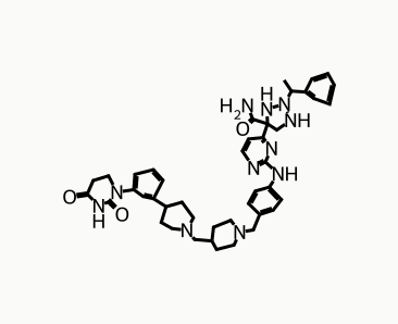 CC(c1ccccc1)N1NCC(C(N)=O)(c2ccnc(Nc3ccc(CN4CCC(CN5CCC(c6cccc(N7CCC(=O)NC7=O)c6)CC5)CC4)cc3)n2)N1